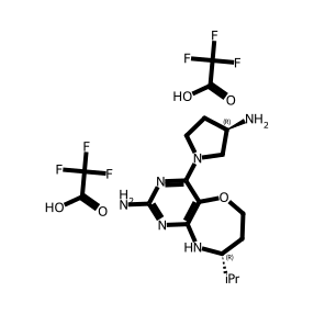 CC(C)[C@H]1CCOc2c(nc(N)nc2N2CC[C@@H](N)C2)N1.O=C(O)C(F)(F)F.O=C(O)C(F)(F)F